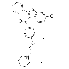 O=C(c1ccc(OCCN2CCCCC2)cc1)c1c(C2=CCCC=C2)sc2cc(O)ccc12